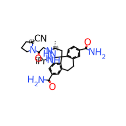 CC(C)NC(=N)C1(C[C@@H](C)NCC(=O)N2CCC[C@H]2C#N)c2ccc(C(N)=O)cc2CCc2cc(C(N)=O)ccc21